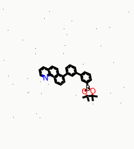 CC1(C)OB(c2cccc(-c3cccc(-c4cccc5c4ccc4cccnc45)c3)c2)OC1(C)C